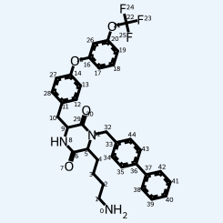 NCCCCC1C(=O)NC(Cc2ccc(Oc3cccc(OC(F)(F)F)c3)cc2)C(=O)N1Cc1ccc(-c2ccccc2)cc1